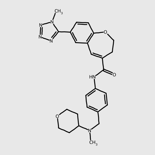 CN(Cc1ccc(NC(=O)C2=Cc3cc(-c4nnnn4C)ccc3OCC2)cc1)C1CCOCC1